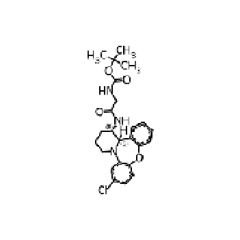 CC(C)(C)OC(=O)NCC(=O)N[C@@H]1CCCN2c3cc(Cl)ccc3Oc3ccccc3[C@@H]12